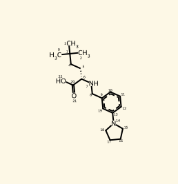 CC(C)(C)CC[C@H](NCc1cccc(N2CCCC2)c1)C(=O)O